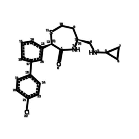 O=C1N[C@H](CNC2CC2)CCS[C@@H]1c1cccc(-c2ccc(Cl)cc2)c1